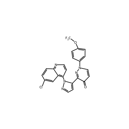 O=c1ccn(-c2ccc(OC(F)(F)F)cc2)nc1-c1ccnn1-c1ccnc2ccc(Cl)cc12